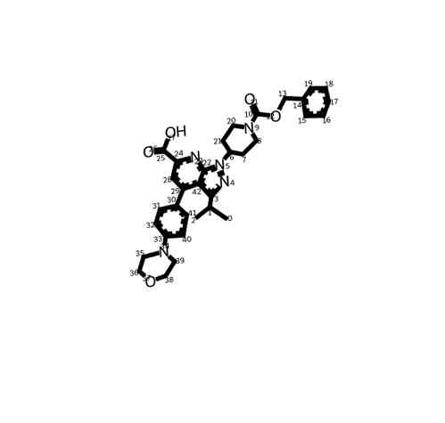 CC(C)c1nn(C2CCN(C(=O)OCc3ccccc3)CC2)c2nc(C(=O)O)cc(-c3ccc(N4CCOCC4)cc3)c12